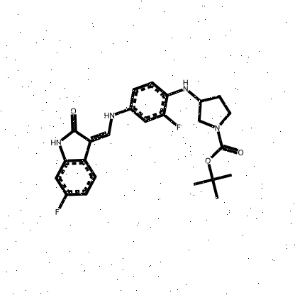 CC(C)(C)OC(=O)N1CCC(Nc2ccc(NC=C3C(=O)Nc4cc(F)ccc43)cc2F)C1